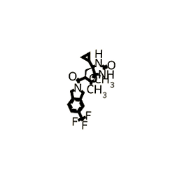 CC(C)[C@H](C[C@@]1(C2CC2)NC(=O)NC1=O)C(=O)N1Cc2ccc(C(F)(F)F)cc2C1